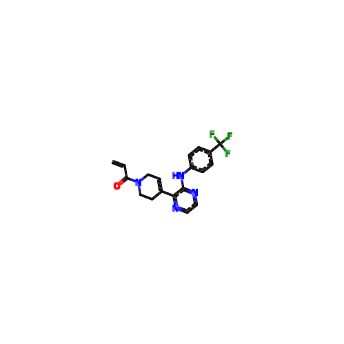 C=CC(=O)N1CC=C(c2nccnc2Nc2ccc(C(F)(F)F)cc2)CC1